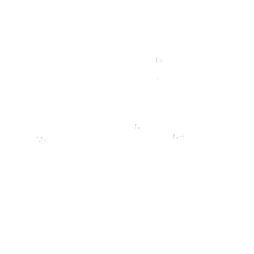 COc1cc(CN2CCNC(c3ccccc3OC(C)C)C2)ccc1C1CC1